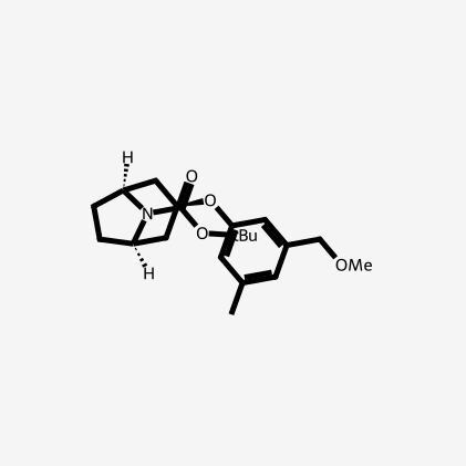 COCc1cc(C)cc(O[C@H]2C[C@H]3CC[C@@H](C2)N3C(=O)OC(C)(C)C)c1